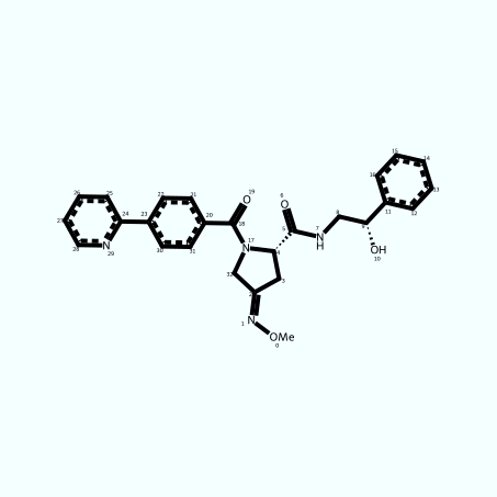 CO/N=C1\C[C@@H](C(=O)NC[C@@H](O)c2ccccc2)N(C(=O)c2ccc(-c3ccccn3)cc2)C1